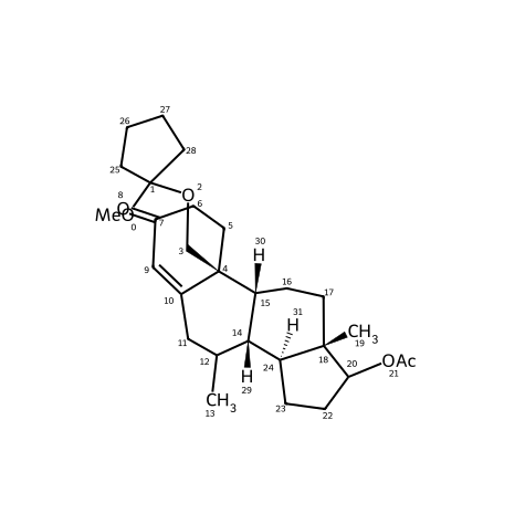 COC1(OC[C@]23CCC(=O)C=C2CC(C)[C@@H]2[C@H]3CC[C@]3(C)C(OC(C)=O)CC[C@@H]23)CCCC1